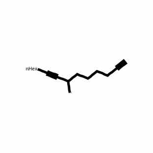 C#CCCCCC([CH2])C#CCCCCCC